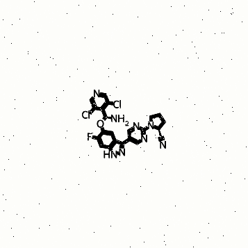 N#C[C@@H]1CCCN1c1ncc(-c2n[nH]c3cc(F)c(O[C@H](N)c4c(Cl)cncc4Cl)cc23)cn1